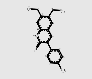 Cc1ccc(-c2cc3cc(CP)c(CP)cc3oc2=O)cc1